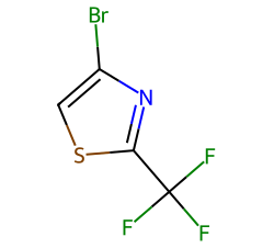 FC(F)(F)c1nc(Br)cs1